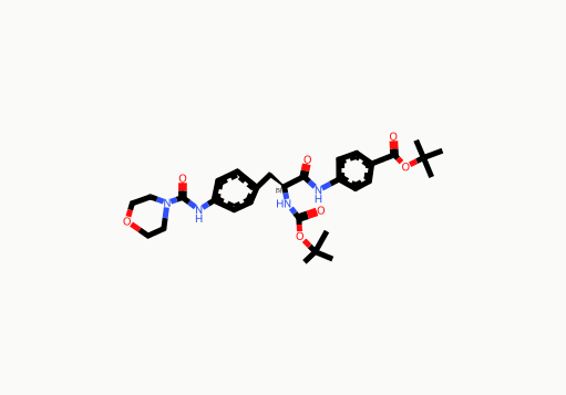 CC(C)(C)OC(=O)N[C@@H](Cc1ccc(NC(=O)N2CCOCC2)cc1)C(=O)Nc1ccc(C(=O)OC(C)(C)C)cc1